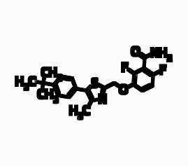 Cc1nc(COc2ccc(F)c(C(N)=O)c2F)sc1-c1ccc(C(C)(C)C)cc1